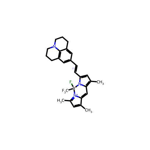 CC1=CC(C)=[N+]2C1=Cc1c(C)cc(/C=C/c3cc4c5c(c3)CCCN5CCC4)n1[B-]2(F)C(F)(F)F